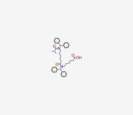 CC(C)C(=O)N(CCCCCC(=O)N(CCCCCC(=O)O)C(c1ccccc1)c1ccccc1)C(c1ccccc1)c1ccccc1